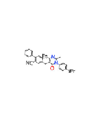 CCc1nc(C)n(-c2ccc(C(C)C)cc2)c(=O)c1Cc1ccc(-c2ccccc2)c(C#N)c1